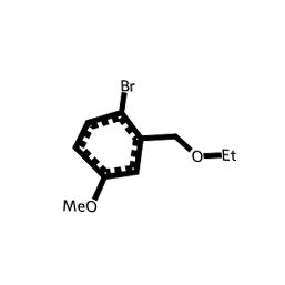 CCOCc1cc(OC)ccc1Br